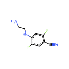 N#Cc1cc(F)c(NCCN)cc1F